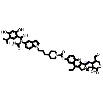 CCc1c2c(nc3ccc(OC(=O)N4CCC(CCCn5ccc6cc(N(C(=N)c7cc(C(C)C)c(O)cc7O)C(N)=O)ccc65)CC4)cc13)/C(=C/C1=C(C=O)COC(=O)C1(O)CC)N(C)C2